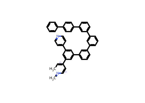 C=N/C=C\C(=C/C)c1cc(-c2ccncc2)cc(-c2cccc(-c3cccc(-c4cccc(-c5ccc(-c6ccccc6)cc5)c4)c3)c2)c1